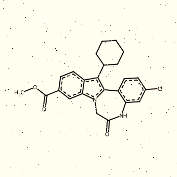 COC(=O)c1ccc2c(C3CCCCC3)c3n(c2c1)CC(=O)Nc1cc(Cl)ccc1-3